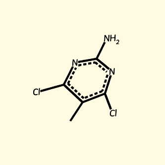 Cc1c(Cl)nc(N)nc1Cl